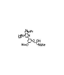 C=CNc1cc(-c2cc(OC)cc(OCC(O)CNC)c2)nc2c1cnn2C(C)C